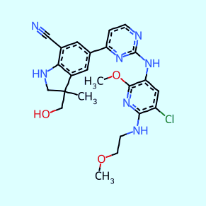 COCCNc1nc(OC)c(Nc2nccc(-c3cc(C#N)c4c(c3)C(C)(CO)CN4)n2)cc1Cl